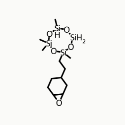 C[SiH]1O[SiH2]O[Si](C)(CCC2CCC3OC3C2)O[Si](C)(C)O1